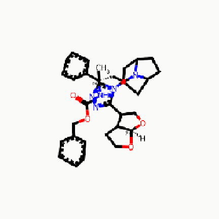 Cc1nnc(C2CO[C@H]3OCCC23)n1C1CC2CCC(C1)N2CC[C@H](NC(=O)OCc1ccccc1)c1ccccc1